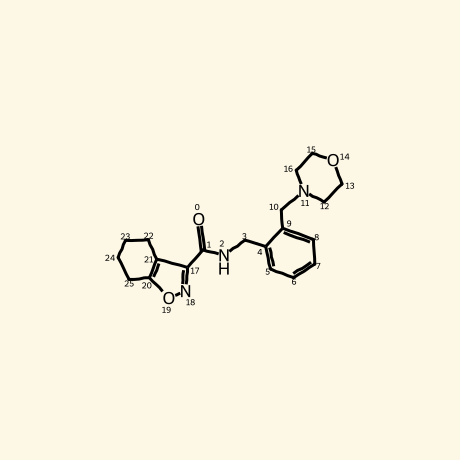 O=C(NCc1ccccc1CN1CCOCC1)c1noc2c1CCCC2